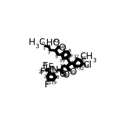 CCCCC(=Cc1cccc(-c2c(CC(=O)Nc3ccc(F)cc3C(F)(F)F)c(=O)oc3cc(Cl)c(C)cc23)c1)C(=O)O